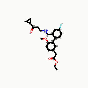 CCOC(=O)Cc1ccc(OC)c(-c2ccc(F)cc2CNCCC(=O)C2CC2)c1